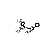 Cc1ccc2c(CCc3nc(-c4ccccc4)cn3C)nc(C)nc2c1